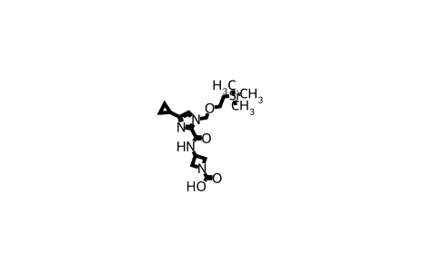 C[Si](C)(C)CCOCn1cc(C2CC2)nc1C(=O)NC1CN(C(=O)O)C1